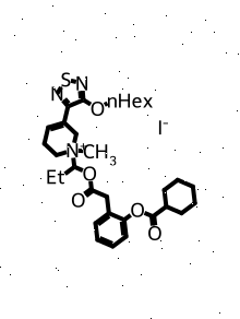 CCCCCCOc1nsnc1C1=CCC[N+](C)(C(CC)OC(=O)Cc2ccccc2OC(=O)C2CCCCC2)C1.[I-]